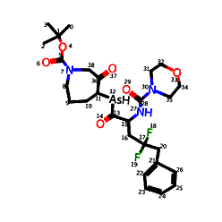 CC(C)(C)OC(=O)N1CCCC([AsH]C(=O)C(CC(F)(F)Cc2ccccc2)NC(=O)N2CCOCC2)C(=O)C1